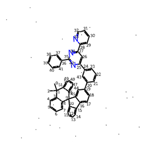 CC1(C)c2ccccc2C2(c3ccccc3-c3ccc(-c4cccc(-c5cc(-c6ccccn6)nc(-c6ccccc6)n5)c4)cc32)c2ccccc21